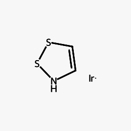 C1=CSSN1.[Ir]